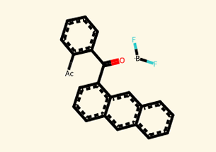 CC(=O)c1ccccc1C(=O)c1cccc2cc3ccccc3cc12.F[B]F